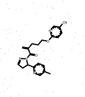 C=C(CCCOc1ccc(C#N)cn1)C(=O)N1N=CCC1c1ccc(C)cn1